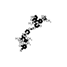 CCS(=O)(=O)Nc1ccc(-n2ccc(OCCOC3CCN(c4ncc(C(N)=O)c(C5C(C)(C)C(Oc6ccc(C#N)c(Cl)c6)C5(C)C)n4)CC3)cc2=O)c(-c2cn(C)c(=O)c3[nH]ccc23)c1